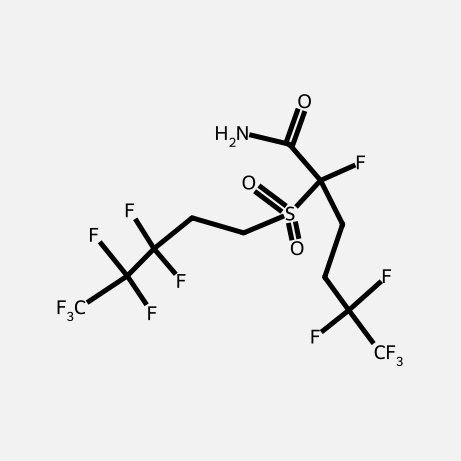 NC(=O)C(F)(CCC(F)(F)C(F)(F)F)S(=O)(=O)CCC(F)(F)C(F)(F)C(F)(F)F